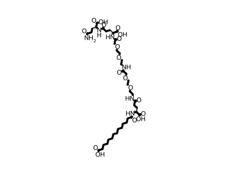 NC(=O)CC[C@H](NC(=O)CC[C@H](NC(=O)COCCOCCNC(=O)COCCOCCNC(=O)CC[C@H](NC(=O)CCCCCCCCCCCCC(=O)O)C(=O)O)C(=O)O)C(=O)O